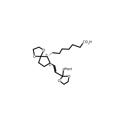 CCCCCC1(C=C[C@H]2CCC3(OCCO3)[C@@H]2CCCCCCC(=O)O)OCCO1